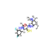 CCc1cc2c(c(CNC[C@H](S)[C@H](Cc3cc(F)cc(F)c3)NC(C)=O)c1)N(CC)CC2